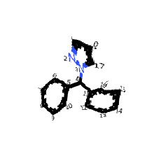 [c]1cnn(C(c2ccccc2)c2ccccc2)c1